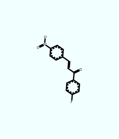 O=C(/C=C/c1ccc([N+](=O)[O-])cc1)c1ccc(F)cc1